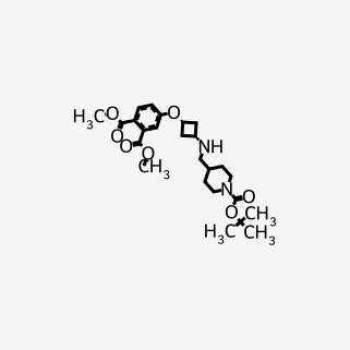 COC(=O)c1ccc(O[C@H]2C[C@H](NCC3CCN(C(=O)OC(C)(C)C)CC3)C2)cc1C(=O)OC